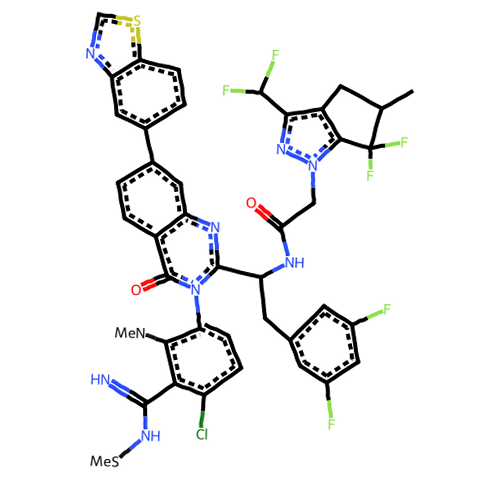 CNc1c(-n2c(C(Cc3cc(F)cc(F)c3)NC(=O)Cn3nc(C(F)F)c4c3C(F)(F)C(C)C4)nc3cc(-c4ccc5scnc5c4)ccc3c2=O)ccc(Cl)c1C(=N)NSC